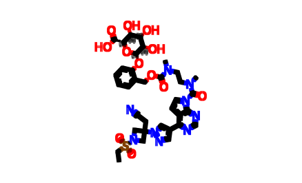 CCS(=O)(=O)N1CC(CC#N)(n2cc(-c3ncnc4c3ccn4C(=O)N(C)CCN(C)C(=O)OCc3ccccc3O[C@@H]3O[C@H](C(=O)O)[C@@H](O)[C@H](O)[C@H]3O)cn2)C1